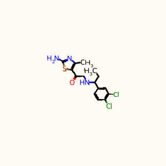 CCC(NCC(=O)c1sc(N)nc1C)c1ccc(Cl)c(Cl)c1